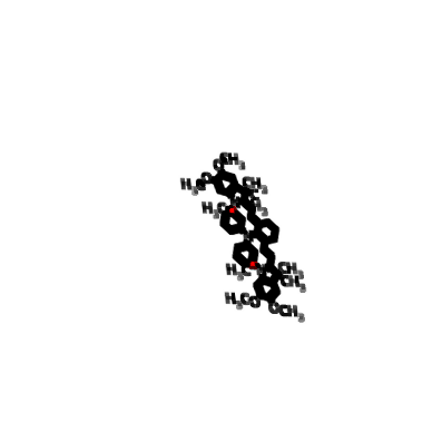 CCN1/C(=C\C=C2/CCCC(/C=C/C3=[N+](CC)c4cc(OC)c(OC)cc4C3(C)C)=C2N(c2ccccc2)c2ccccc2)C(C)(C)c2cc(OC)c(OC)cc21